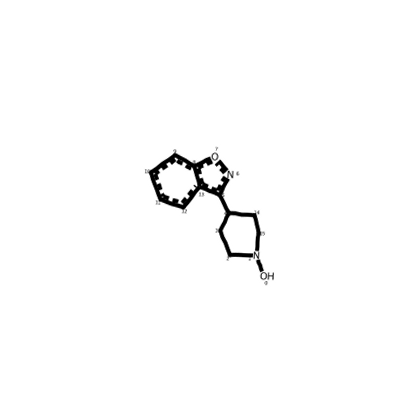 ON1CCC(c2noc3ccccc23)CC1